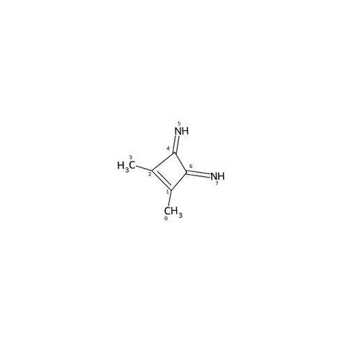 Cc1c(C)c(=N)c1=N